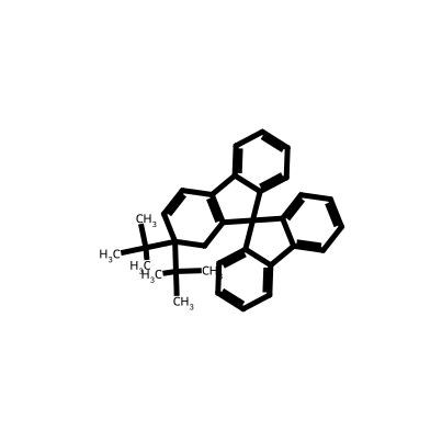 CC(C)(C)C1(C(C)(C)C)C=CC2=C(C1)C1(c3ccccc32)c2ccccc2-c2ccccc21